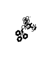 CC1=C(c2nccs2)CN2CC1N(OS(=O)(=O)[O-])C2=O.CC=C[P+](c1ccccc1)(c1ccccc1)c1ccccc1